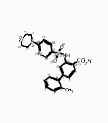 Cc1ccccc1-c1ccc(C(=O)O)c(NS(=O)(=O)c2ccc(N3CCOCC3)nc2)c1